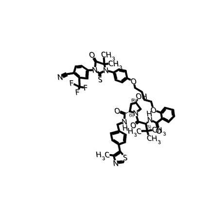 Cc1ncsc1-c1ccc(CNC(=O)[C@@H]2C[C@@H](O)CN2C(=O)[C@@H](NC(=O)c2ccccc2OCCCCOc2ccc(N3C(=S)N(c4ccc(C#N)c(C(F)(F)F)c4)C(=O)C3(C)C)cc2)C(C)(C)C)cc1